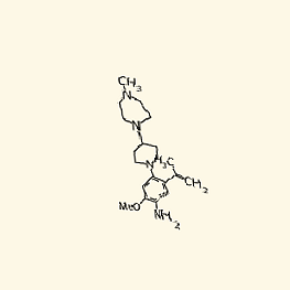 C=C(C)c1cc(N)c(OC)cc1N1CCC(N2CCN(C)CC2)CC1